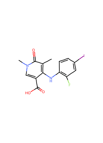 Cc1c(Nc2ccc(I)cc2F)c(C(=O)O)cn(C)c1=O